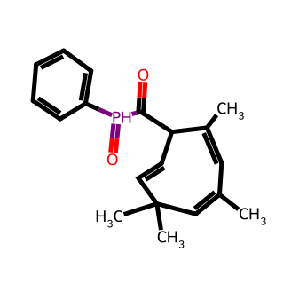 CC1=C/C(C)(C)/C=C/C(C(=O)[PH](=O)c2ccccc2)/C(C)=C\1